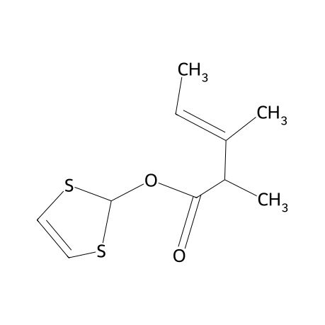 CC=C(C)C(C)C(=O)OC1SC=CS1